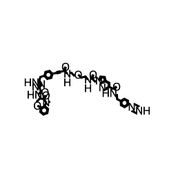 CN1C(=O)[C@@H](NC(=O)c2n[nH]c(Cc3ccc(C#CC(=O)NCCOCCNC(=O)Cn4ccc5cc(C(=O)NCCc6ccc(N7CCNCC7)cc6)cnc54)cc3)n2)COc2ccccc21